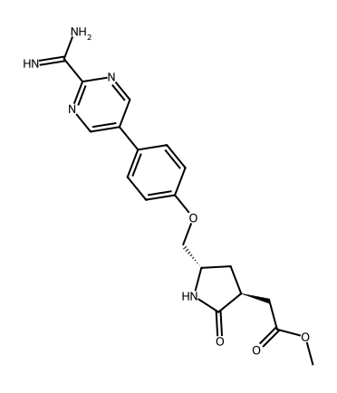 COC(=O)C[C@@H]1C[C@@H](COc2ccc(-c3cnc(C(=N)N)nc3)cc2)NC1=O